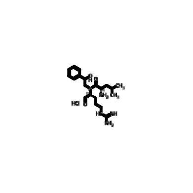 CC(C)C[C@H](N)C(=O)N(CC(O)c1ccccc1)[C@H](C=O)CCCNC(=N)N.Cl